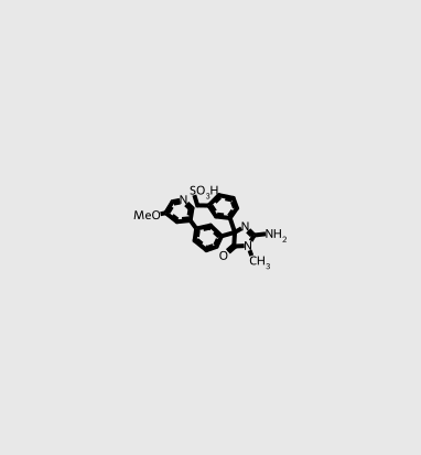 COc1cncc(-c2cccc(C3(c4cccc(CS(=O)(=O)O)c4)N=C(N)N(C)C3=O)c2)c1